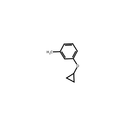 Cc1cccc(OC2CC2)c1